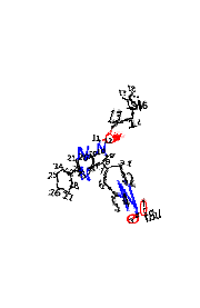 CC(C)(C)OC(=O)N1CC=C(c2cn(COCC[Si](C)(C)C)c3ncc(C4=CCCCC4)nc23)CC1